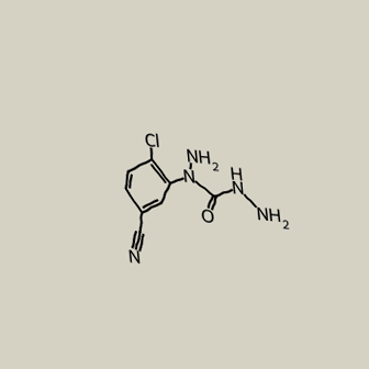 N#Cc1ccc(Cl)c(N(N)C(=O)NN)c1